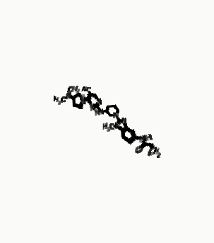 C=CC(=O)Nc1ccc2c(c1)nc(N1CCCC(Nc3ncc(C#N)c(N4CCC(N(C)C)C4)n3)C1)n2C